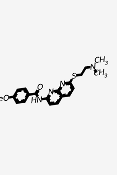 COc1ccc(C(=O)Nc2ccc3ccc(SCCN(C)C)nc3n2)cc1